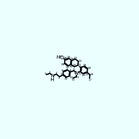 CCNCCc1ccc(CN(CC)c2cc(CC)ccc2[C@@H]2CCc3cc(O)ccc3C2)cc1